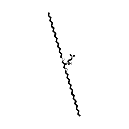 CCCCCC=CCC=CCCCCCCCCOCC(COCCCCCCCCC=CCC=CCCCCC)NCCN(C)C